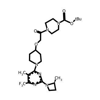 Cc1c(N2CCC(OCC(=O)N3CCN(C(=O)OC(C)(C)C)CC3)CC2)nc(N2CC[C@@H]2C)nc1C(F)(F)F